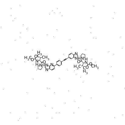 COC(=O)N[C@H](C(=O)N1CCC[C@H]1c1nc2ccc(C#Cc3ccc(-c4ccc5nc([C@@H]6CCCN6C(=O)[C@@H](NC(=O)OC)C(C)C)[nH]c5n4)cc3)cc2[nH]1)C(C)C